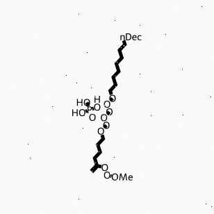 C=C(CCCCOOOOOOCCCCCCCCCCCCCCCCCC)OOOC.O=P(O)(O)O